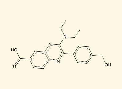 CCN(CC)c1nc2cc(C(=O)O)ccc2nc1-c1ccc(CO)cc1